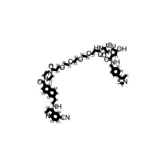 Cc1ncsc1-c1ccc(CNC(=O)C2CC(O)CN2C(=O)[C@@H](NC(=O)CCOCCOCCOCCOCCC(=O)N2CCN(C(=O)c3ccc4cc(CCNc5ccnc6ccc(C#N)cc56)ccc4c3)CC2)C(C)(C)C)cc1